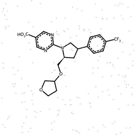 O=C(O)c1cnc(N2CC(c3ccc(C(F)(F)F)cc3)C[C@H]2COC2CCOC2)nc1